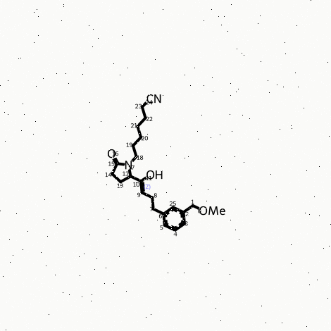 COCc1cccc(CC/C=C(\O)C2CCC(=O)N2CCCCCCC#N)c1